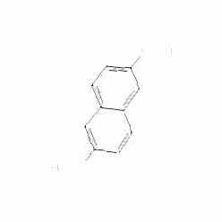 O=C(O)c1[c]c2ccc(C(=O)O)cc2cc1